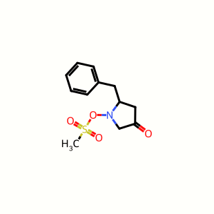 CS(=O)(=O)ON1CC(=O)CC1Cc1ccccc1